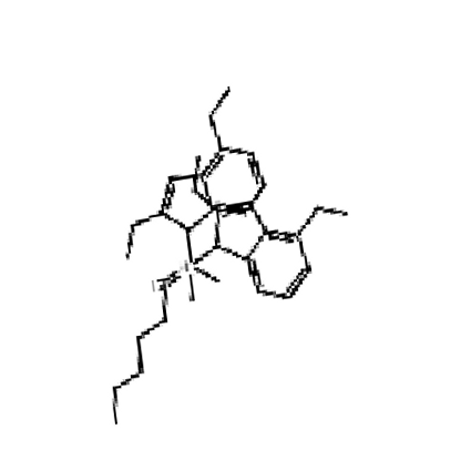 CCCCC[SiH]=[Hf]([CH3])([CH3])([CH]1C(CC)=Cc2c(CC)cccc21)[CH]1C(CC)=Cc2c(CC)cccc21